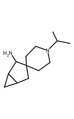 CC(C)N1CCC2(CC1)CC1CC1C2N